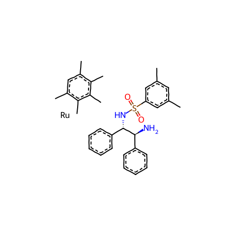 Cc1cc(C)c(C)c(C)c1C.Cc1cc(C)cc(S(=O)(=O)N[C@@H](c2ccccc2)[C@@H](N)c2ccccc2)c1.[Ru]